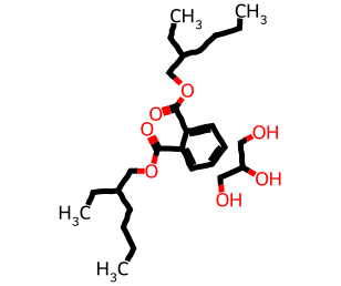 CCCCC(CC)COC(=O)c1ccccc1C(=O)OCC(CC)CCCC.OCC(O)CO